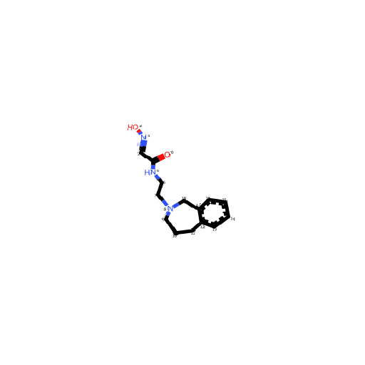 O=C(/C=N/O)NCCN1CCCc2ccccc2C1